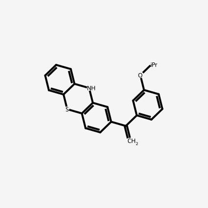 C=C(c1cccc(OC(C)C)c1)c1ccc2c(c1)Nc1ccccc1S2